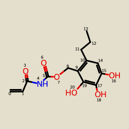 C=CC(=O)NC(=O)OCc1c(CCC)cc(O)c(O)c1O